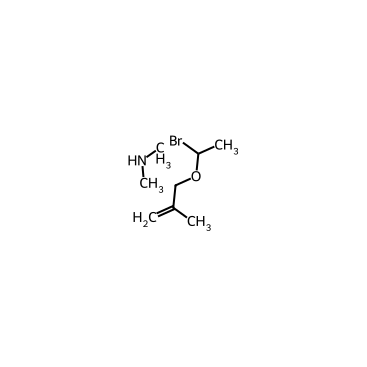 C=C(C)COC(C)Br.CNC